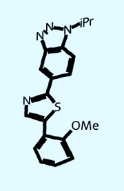 COc1ccccc1-c1cnc(-c2ccc3c(c2)nnn3C(C)C)s1